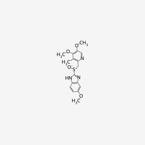 COc1ccc2[nH]c([S+]([O-])Cc3ncc(OC)c(OC)c3C)nc2c1